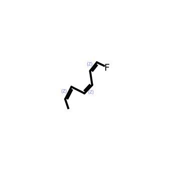 C\C=C/C=C\C=C/F